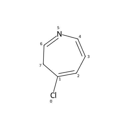 ClC1=CC=CN=CC1